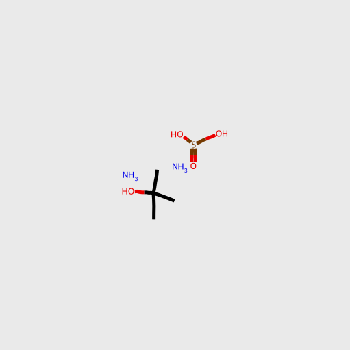 CC(C)(C)O.N.N.O=S(O)O